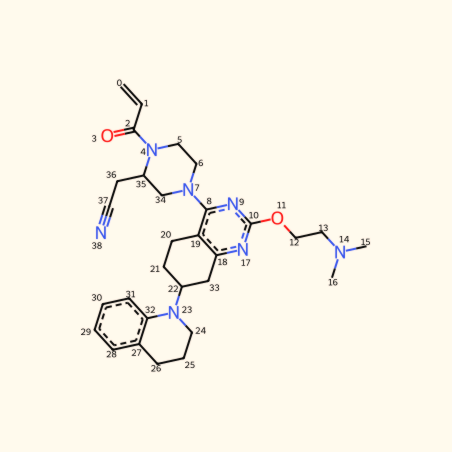 C=CC(=O)N1CCN(c2nc(OCCN(C)C)nc3c2CCC(N2CCCc4ccccc42)C3)CC1CC#N